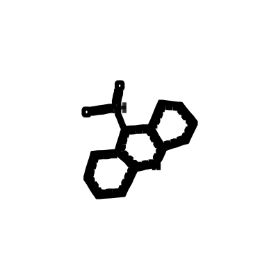 O=[SH](=O)c1c2ccccc2nc2ccccc12